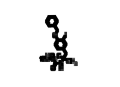 CC(C)(C)OC(=O)NC(C)(Cc1ccc(OCc2ccccc2)c(I)c1)C(=O)O